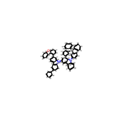 c1ccc(-c2ccc3c(c2)c2ccc(-c4cccc5oc6ccccc6c45)cc2n3-c2ccc3c(c2)c2ccccc2n3-c2cccc([Si](c3ccccc3)(c3ccccc3)c3ccccc3)c2)cc1